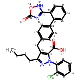 CCCCc1nn(-c2ccccc2Cl)c(C(=O)O)c1Cc1ccc(-c2ccccc2-c2nc(=O)o[nH]2)cc1